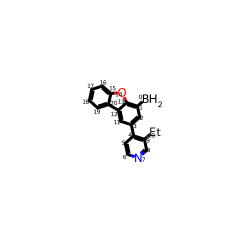 Bc1cc(-c2ccncc2CC)cc2c1oc1ccccc12